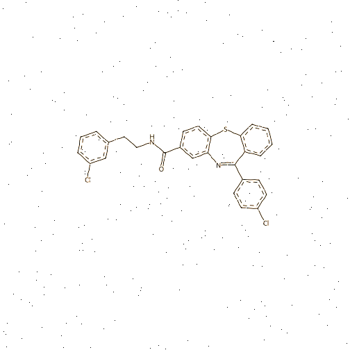 O=C(NCCc1cccc(Cl)c1)c1ccc2c(c1)N=C(c1ccc(Cl)cc1)c1ccccc1S2